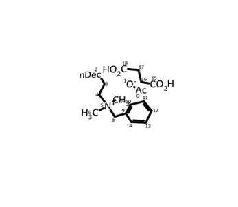 CC(=O)[O-].CCCCCCCCCCCC[N+](C)(C)Cc1ccccc1.O=C(O)CCC(=O)O